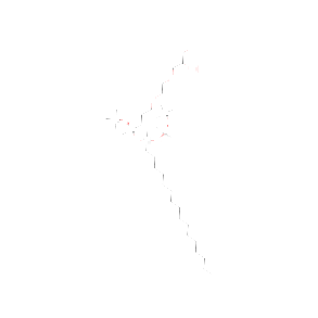 CCCCCCCCCCCCCCCC[Si](C)(O[Si](C)(C)O[Si](C)(C)C)O[Si](C)(CCCOCCOCC(O)CO)O[Si](C)(C)C